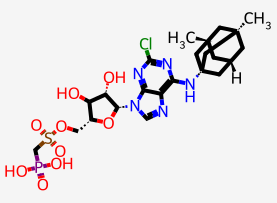 C[C@]12C[C@@H]3C[C@](C)(C1)C[C@@](Nc1nc(Cl)nc4c1ncn4[C@@H]1O[C@H](COS(=O)(=O)CP(=O)(O)O)C(O)[C@@H]1O)(C3)C2